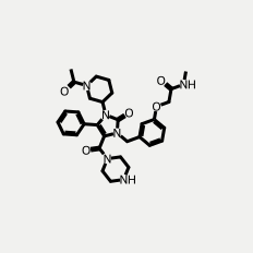 CNC(=O)COc1cccc(Cn2c(C(=O)N3CCNCC3)c(-c3ccccc3)n(C3CCCN(C(C)=O)C3)c2=O)c1